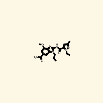 CCCn1c(NC(=O)c2cc(C)nn2CC)nc2c(OC)cc(C(N)=O)cc21